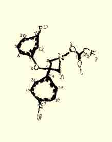 O=C(ON1CC(Oc2cccc(F)c2)(c2ccc(F)cc2)C1)C(F)(F)F